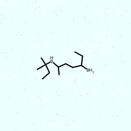 BC(CC)CCC(C)BC(C)(C)CC